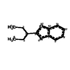 CCC(CC)c1nc2ccccc2o1